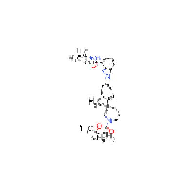 CC(C)(C)NC(=O)c1cccc2cn(-c3ccc(C4(C)CCCN(C(=O)OC(C)(C)C)C4)cc3)nc12